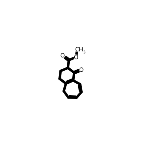 COC(=O)C1CCC2=C(C=CC=CC2)C1=O